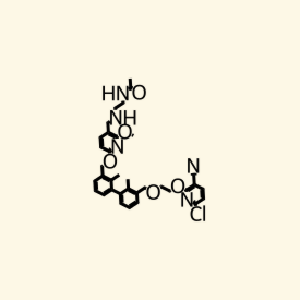 COc1nc(OCc2cccc(-c3cccc(COCCOc4nc(Cl)ccc4C#N)c3C)c2C)ccc1CNCCNC(C)=O